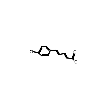 O=C(O)C=CC=Cc1ccc(Cl)cc1